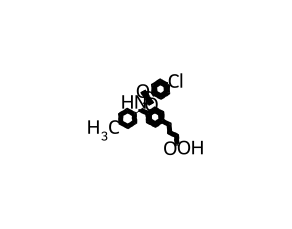 C[C@H]1CC[C@H](C(NS(=O)(=O)c2ccc(Cl)cc2)c2ccc(CCCC(=O)O)cc2)CC1